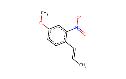 CC=Cc1ccc(OC)cc1[N+](=O)[O-]